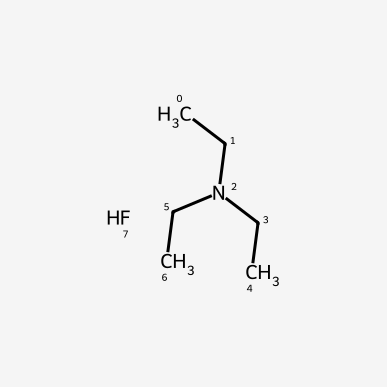 CCN(CC)CC.F